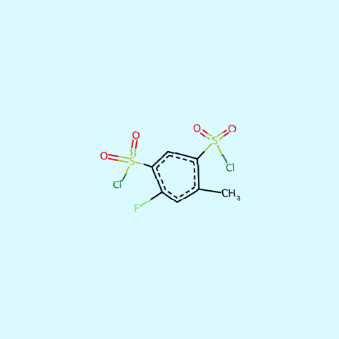 Cc1cc(F)c(S(=O)(=O)Cl)cc1S(=O)(=O)Cl